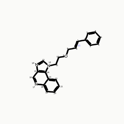 C(=C\c1ccccc1)/COCCn1cnc2cnc3ccccc3c21